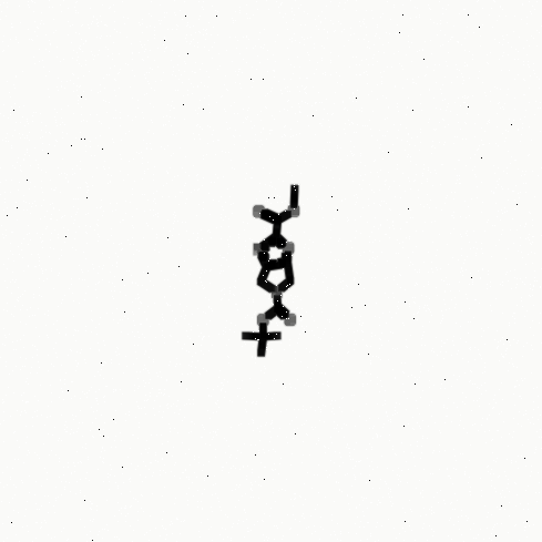 COC(=O)c1nc2c(o1)CN(C(=O)OC(C)(C)C)C2